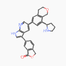 O=C1OCc2ccc(-c3c[nH]c4ncc(-c5cc6c(c(C7CCCN7)c5)COCC6)cc34)cc21